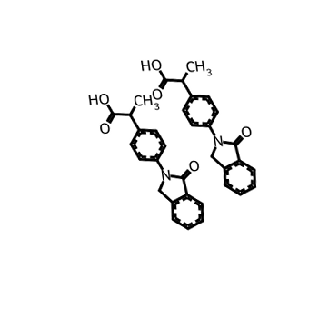 CC(C(=O)O)c1ccc(N2Cc3ccccc3C2=O)cc1.CC(C(=O)O)c1ccc(N2Cc3ccccc3C2=O)cc1